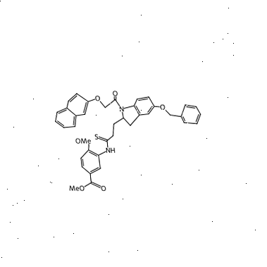 COC(=O)c1ccc(OC)c(NC(=S)CCC2Cc3cc(OCc4ccccc4)ccc3N2C(=O)COc2ccc3ccccc3c2)c1